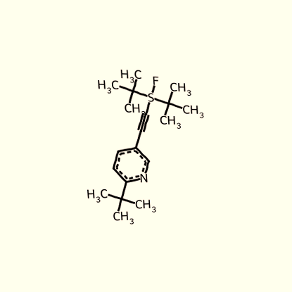 CC(C)(C)c1ccc(C#CS(F)(C(C)(C)C)C(C)(C)C)cn1